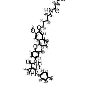 COc1cc2c(Oc3ccc(NC(=O)C4(C(=O)Nc5ccc(F)cc5)CC4)cc3F)ccnc2cc1OCCCCCNC(=O)CSSC